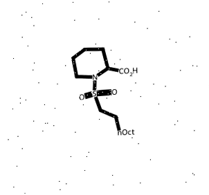 CCCCCCCCCCS(=O)(=O)N1CCCCC1C(=O)O